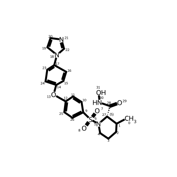 CC1CCCN(S(=O)(=O)c2ccc(Oc3ccc(-n4ccnc4)cc3)cc2)[C@@H]1C(=O)NO